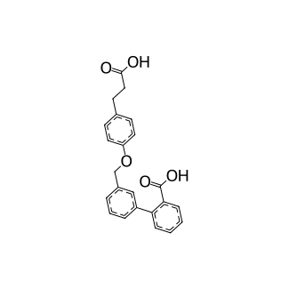 O=C(O)CCc1ccc(OCc2cccc(-c3ccccc3C(=O)O)c2)cc1